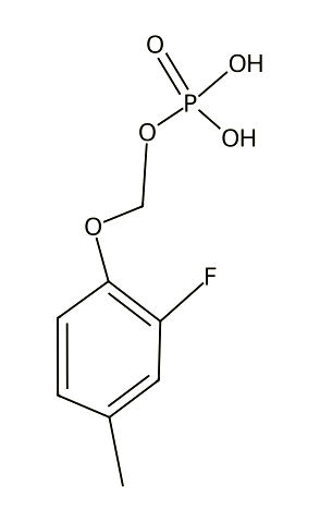 Cc1ccc(OCOP(=O)(O)O)c(F)c1